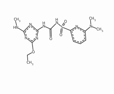 CCOc1nc(NC)nc(NC(=O)NS(=O)(=O)c2cccc(N(C)C)n2)n1